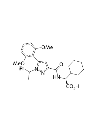 COc1cccc(OC)c1-c1cc(C(=O)N[C@H](C(=O)O)C2CCCCC2)nn1C(C)C(C)C